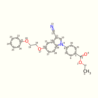 CCOC(=O)c1ccc(-n2cc(C#N)c3cc(OCCOc4ccccc4)ccc32)cc1